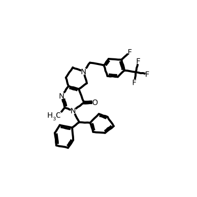 Cc1nc2c(c(=O)n1C(c1ccccc1)c1ccccc1)CN(Cc1ccc(C(F)(F)F)c(F)c1)CC2